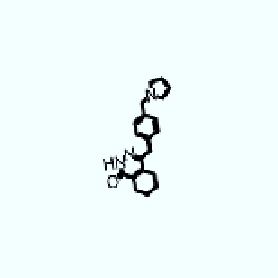 O=c1[nH]nc(Cc2ccc(CN3CCCC3)cc2)c2c1CCCC2